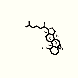 CC(C)CCC[C@@H](C)[C@H]1CC[C@H]2[C@@H]3CC4OC45CCCC(O)[C@]5(C)[C@H]3CC[C@]12C